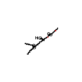 CCCCCCCCCOC(=O)CCCCCCCN(CCO)CCCCCCCCCC(OCCCCCCCCC)OCCCCCCCCC